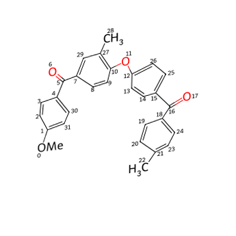 COc1ccc(C(=O)c2ccc(Oc3ccc(C(=O)c4ccc(C)cc4)cc3)c(C)c2)cc1